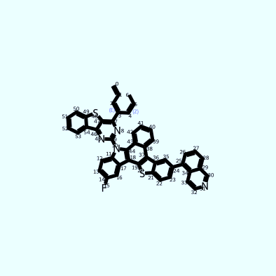 C=C/C=C(\C=C/C)c1nc(-n2c3ccc(F)cc3c3c4sc5ccc(-c6cccc7cnccc67)cc5c4c4ccccc4c32)nc2c1sc1ccccc12